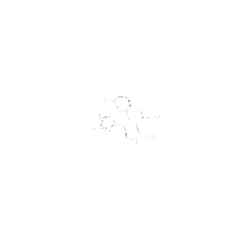 COC(=O)C1=C(C)NC(C)=C(c2nc(CCl)no2)C1c1cccc(F)c1